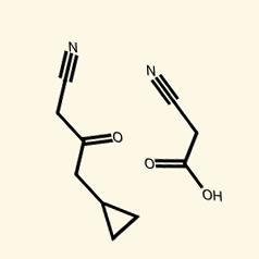 N#CCC(=O)CC1CC1.N#CCC(=O)O